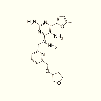 Cc1ccc(-c2nc(N)nc(N(N)Cc3cccc(COC4CCOC4)n3)c2N)o1